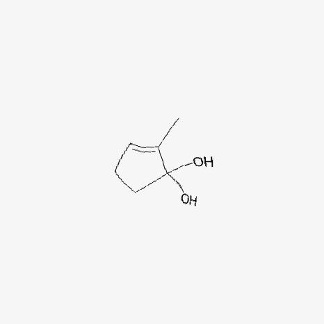 CC1=CCCC1(O)O